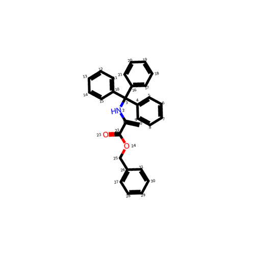 C=C(NC(c1ccccc1)(c1ccccc1)c1ccccc1)C(=O)OCc1ccccc1